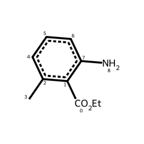 CCOC(=O)c1c(C)cccc1N